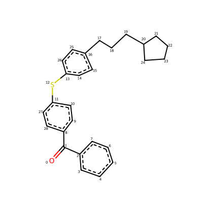 O=C(c1ccccc1)c1ccc(Sc2ccc(CCCC3CCCC3)cc2)cc1